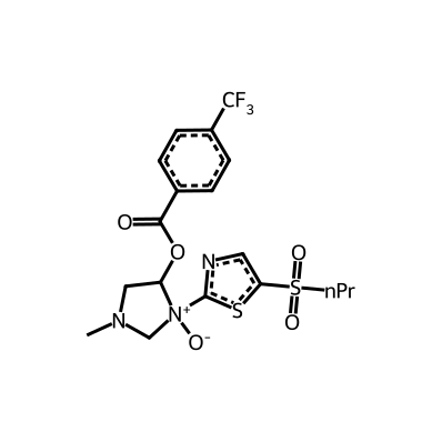 CCCS(=O)(=O)c1cnc([N+]2([O-])CN(C)CC2OC(=O)c2ccc(C(F)(F)F)cc2)s1